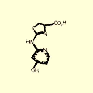 O=C(O)C1CSC(Nc2cc(O)ccn2)=N1